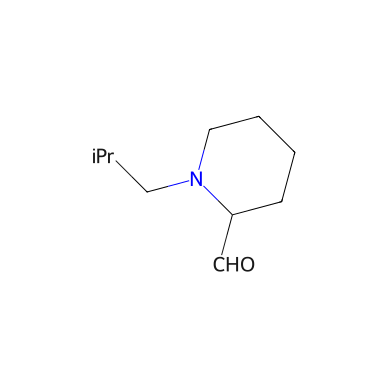 CC(C)CN1CCCCC1C=O